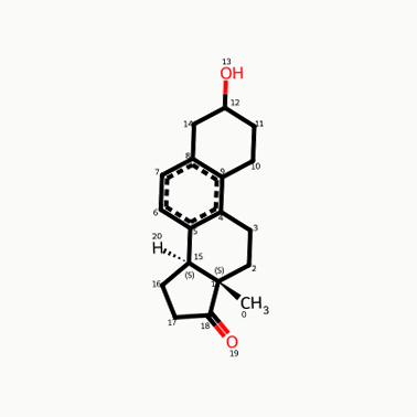 C[C@]12CCc3c(ccc4c3CCC(O)C4)[C@@H]1CCC2=O